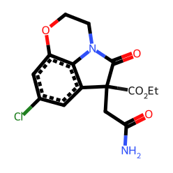 CCOC(=O)C1(CC(N)=O)C(=O)N2CCOc3cc(Cl)cc1c32